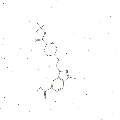 Cc1nn(CCC2CCN(C(=O)OC(C)(C)C)CC2)c2cc([N+](=O)[O-])ccc12